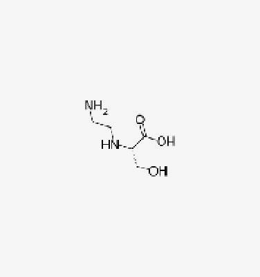 NCCN[C@@H](CO)C(=O)O